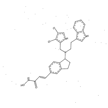 O=C(/C=C/c1ccc2c(c1)CCC2N(CCc1c[nH]c2ccccc12)Cc1[nH]cc(Cl)c1Cl)NO